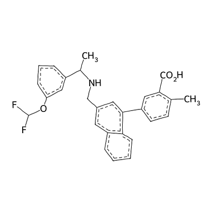 Cc1ccc(-c2cc(CNC(C)c3cccc(OC(F)F)c3)cc3ccccc23)cc1C(=O)O